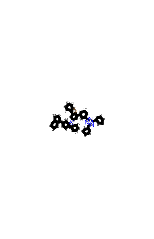 c1ccc(-c2nc(-c3ccccc3)nc(-c3cccc(-c4cc(-n5c6ccccc6c6ccc(-c7cccc8ccccc78)cc65)cc5c4sc4ccccc45)c3)n2)cc1